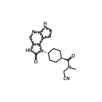 CN(CC#N)C(=O)[C@H]1CC[C@H](n2c(=O)[nH]c3cnc4[nH]ccc4c32)CC1